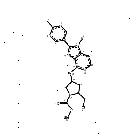 CCn1c(-c2cnc(C)nc2)nc2c(NC3CC(CO)N(C(=O)OC(C)(C)C)C3)ncnc21